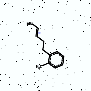 CCCC/C=C/CCc1ccccc1C